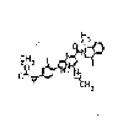 CCOC(=O)[C@H]1C[C@@H]1c1ccc(-c2cc3nc(C(=O)N4CC(F)c5ccccc5[C@H]4C)cc(N4CC(C)C4)n3n2)c(F)c1